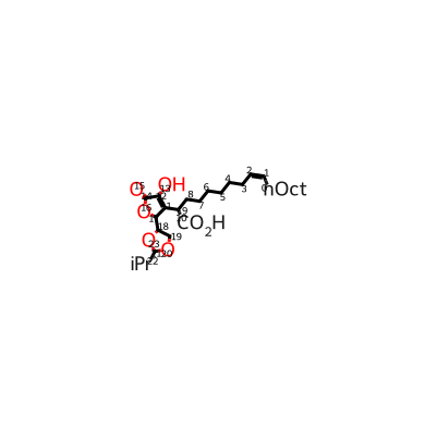 CCCCCCCC/C=C\CCCCCCC(C(=O)O)C1=C(O)C(=O)OC1C1COC(C(C)C)O1